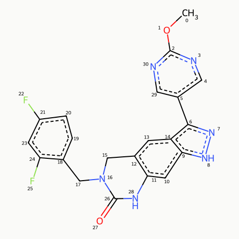 COc1ncc(-c2n[nH]c3cc4c(cc23)CN(Cc2ccc(F)cc2F)C(=O)N4)cn1